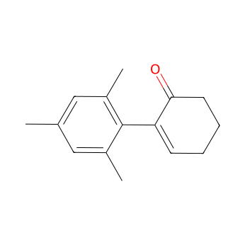 Cc1cc(C)c(C2=CCCCC2=O)c(C)c1